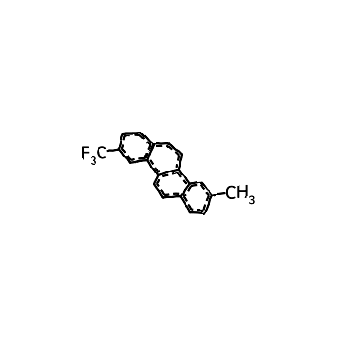 Cc1ccc2ccc3c4cc(C(F)(F)F)ccc4ccc3c2c1